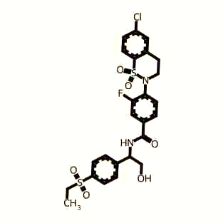 CCS(=O)(=O)c1ccc(C(CO)NC(=O)c2ccc(N3CCc4cc(Cl)ccc4S3(=O)=O)c(F)c2)cc1